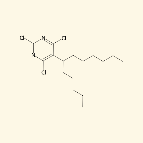 CCCCCCC(CCCCC)c1c(Cl)nc(Cl)nc1Cl